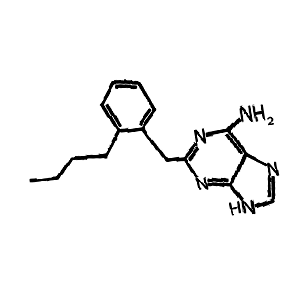 CCCCc1ccccc1Cc1nc(N)c2nc[nH]c2n1